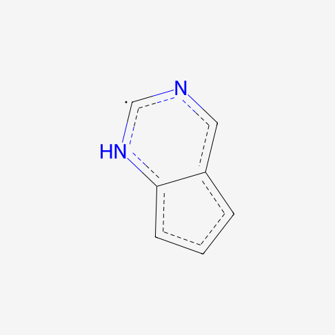 [c]1ncc2cccc-2[nH]1